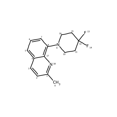 Cc1ccc2cccc(N3CCC(F)(F)CC3)c2n1